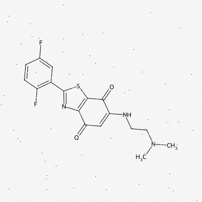 CN(C)CCNC1=CC(=O)c2nc(-c3cc(F)ccc3F)sc2C1=O